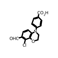 O=Cc1ccc2c(c1Cl)OCCN2c1ccc(C(=O)O)cc1